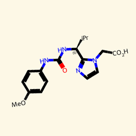 COc1ccc(NC(=O)N[C@H](c2nccn2CC(=O)O)C(C)C)cc1